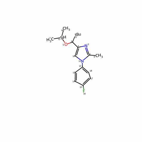 Cc1nc(C(O[SiH](C)C)C(C)(C)C)cn1-c1ccc(F)cc1